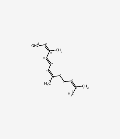 CC(C)=CCCC(C)=CC=CC(C)=CC=O